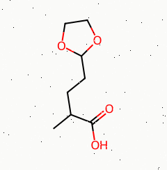 CC(CCC1OCCO1)C(=O)O